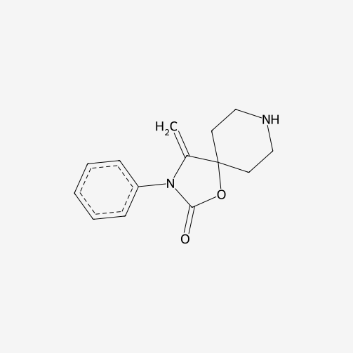 C=C1N(c2ccccc2)C(=O)OC12CCNCC2